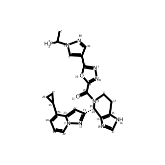 CC(P)n1cc(-c2nnc(C(=O)N3CCc4[nH]cnc4[C@@H]3c3cc4c(C5CC5)cccn4n3)o2)cn1